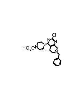 C[C@@H]1CN(C(=O)O)CCN1c1nc(Cl)nc2c1CCN(Cc1ccccc1)C2